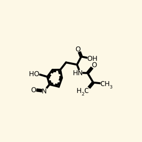 C=C(C)C(=O)NC(Cc1ccc(N=O)c(O)c1)C(=O)O